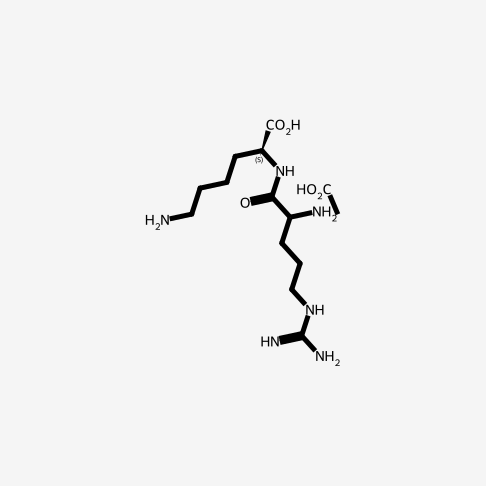 CC(=O)O.N=C(N)NCCCC(N)C(=O)N[C@@H](CCCCN)C(=O)O